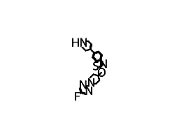 Fc1cnc(N2CCC(Oc3nc4ccc(C5=CCNCC5)cc4s3)CC2)nc1